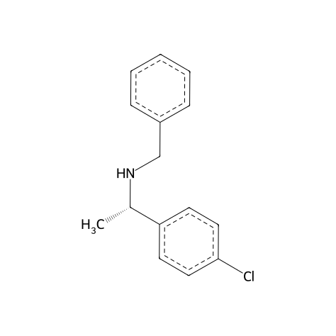 C[C@H](NCc1ccccc1)c1ccc(Cl)cc1